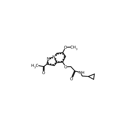 COc1cc(OCC(=O)NCC2CC2)c2cc(C(C)=O)nn2c1